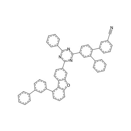 N#Cc1cccc(-c2ccc(-c3nc(-c4ccccc4)nc(-c4ccc5c(c4)oc4cccc(-c6cccc(-c7ccccc7)c6)c45)n3)cc2-c2ccccc2)c1